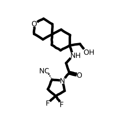 N#C[C@H]1CC(F)(F)CN1C(=O)CNC1(CO)CCC2(CCOCC2)CC1